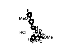 COCC1=C(C(=O)OC)C(c2ccc(F)c(F)c2)N(C(=O)N[C@@H]2CCN([C@H]3CC[C@H](c4ccc(F)cc4OC)CC3)C2)C(=O)N1.Cl